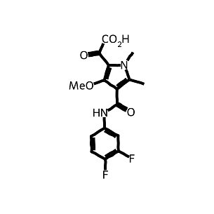 COc1c(C(=O)Nc2ccc(F)c(F)c2)c(C)n(C)c1C(=O)C(=O)O